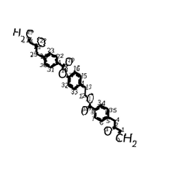 C=CC(=O)Cc1ccc(C(=O)OCCc2ccc(OC(=O)c3ccc(CC(=O)C=C)cc3)cc2)cc1